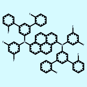 Fc1cc(F)cc(N(c2cc(-c3ccccc3F)cc(-c3ccccc3F)c2)c2ccc3ccc4c(N(c5cc(F)cc(F)c5)c5cc(-c6ccccc6F)cc(-c6ccccc6F)c5)ccc5ccc2c3c54)c1